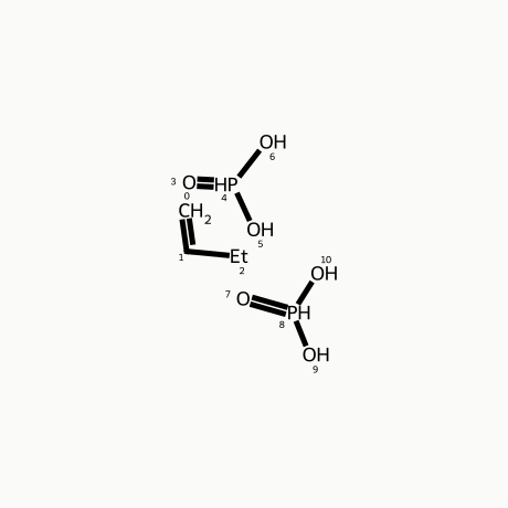 C=CCC.O=[PH](O)O.O=[PH](O)O